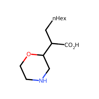 CCCCCCCC(C(=O)O)C1CNCCO1